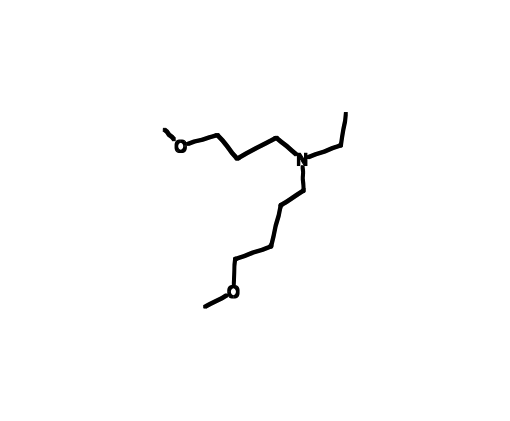 CCN(CCCCOC)CCCOC